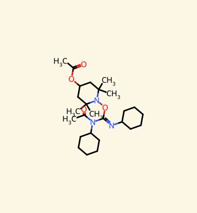 CC(=O)OC1CC(C)(C)N(O/C(=N\C2CCCCC2)N(C(C)=O)C2CCCCC2)C(C)(C)C1